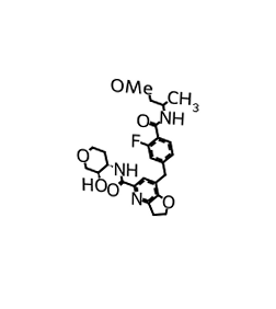 COCC(C)NC(=O)c1ccc(Cc2cc(C(=O)N[C@H]3CCOC[C@@H]3O)nc3c2OCC3)cc1F